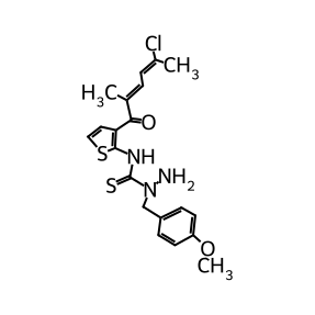 COc1ccc(CN(N)C(=S)Nc2sccc2C(=O)/C(C)=C/C=C(\C)Cl)cc1